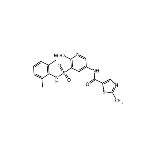 COc1ncc(NC(=O)c2cnc(C(F)(F)F)s2)cc1S(=O)(=O)Nc1c(C)cccc1C